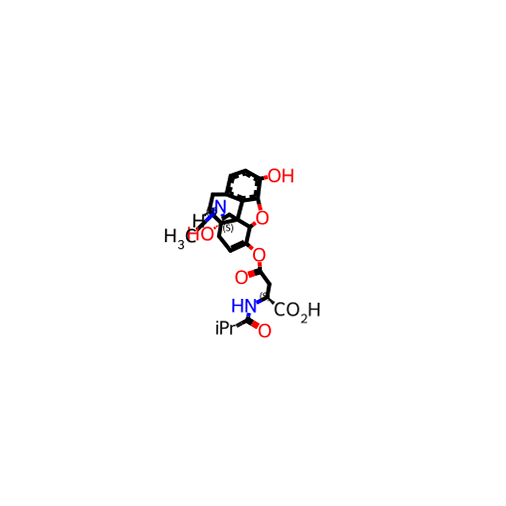 CC(C)C(=O)N[C@@H](CC(=O)OC1=CC[C@@]2(O)[C@H]3Cc4ccc(O)c5c4C2(CCN3C)C1O5)C(=O)O